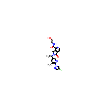 Cc1cc(C(C)N2Cc3c(ccnc3C(=O)NCCO)C2=O)cnc1-n1cc(Cl)cn1